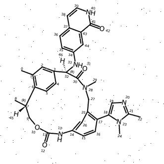 Cc1cc2ccc1[C@@H](C)COC(=O)Nc1ccc(-c3cnc(C)n3C)c(c1)CN(C)C(=O)[C@@H]2Nc1ccc2cc[nH]c(=O)c2c1